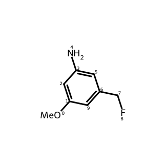 COc1cc(N)cc(CF)c1